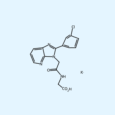 O=C(O)CNC(=O)Cn1c(-c2cccc(Cl)c2)nc2cccnc21.[K]